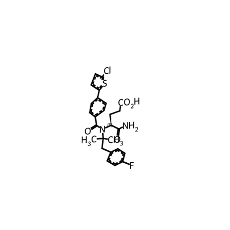 CC(C)(Cc1ccc(F)cc1)N(C(=O)c1ccc(-c2ccc(Cl)s2)cc1)[C@@H](CCC(=O)O)C(N)=O